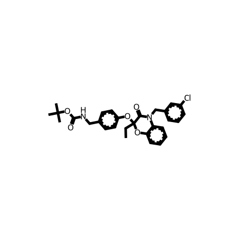 CCC1(Oc2ccc(CNC(=O)OC(C)(C)C)cc2)Oc2ccccc2N(Cc2cccc(Cl)c2)C1=O